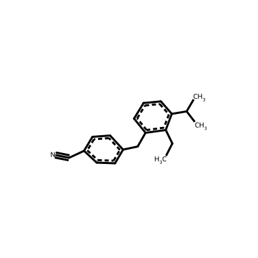 CCc1c(Cc2ccc(C#N)cc2)cccc1C(C)C